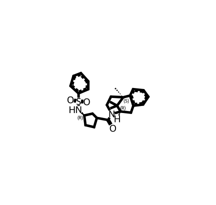 CC1(C)[C@H]2Cc3ccccc3[C@]1(C)CCN2C(=O)C1CC[C@@H](NS(=O)(=O)c2ccccc2)C1